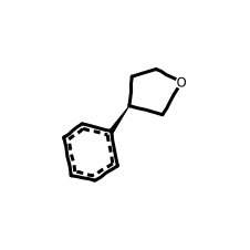 c1ccc([C@H]2CCOC2)cc1